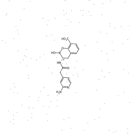 Nc1cc(CC(=O)N[C@H]2Cc3cccc(C(=O)O)c3OB2O)ccn1